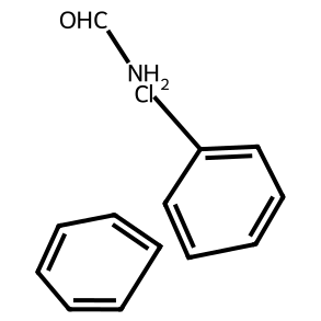 Clc1ccccc1.NC=O.c1ccccc1